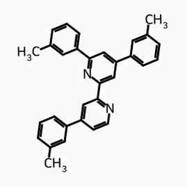 Cc1cccc(-c2ccnc(-c3cc(-c4cccc(C)c4)cc(-c4cccc(C)c4)n3)c2)c1